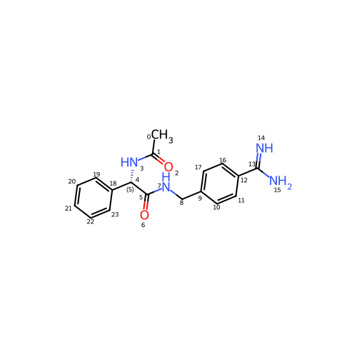 CC(=O)N[C@H](C(=O)NCc1ccc(C(=N)N)cc1)c1ccccc1